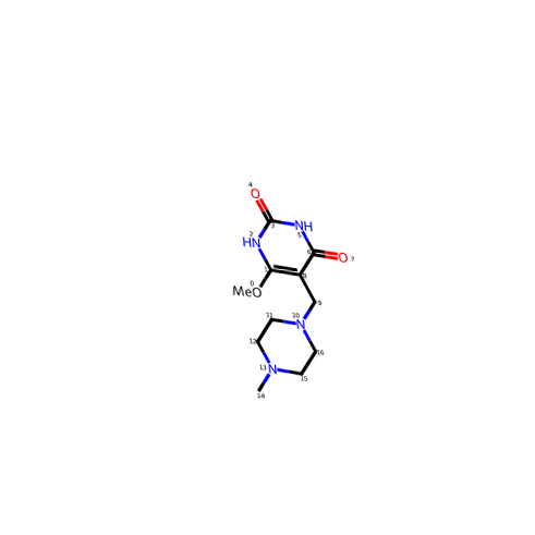 COc1[nH]c(=O)[nH]c(=O)c1CN1CCN(C)CC1